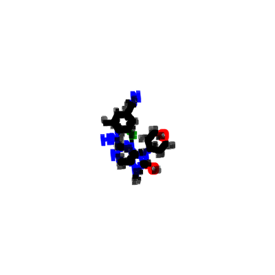 Cc1cc(C#N)cc(F)c1Nc1ncc2c(n1)n(C1CCOCC1)c(=O)n2C